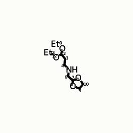 CCOC(CCNCC1OCCO1)OCC